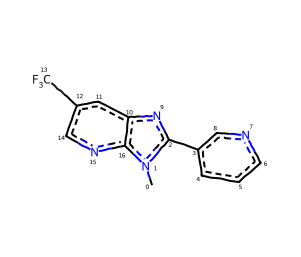 Cn1c(-c2cccnc2)nc2cc(C(F)(F)F)cnc21